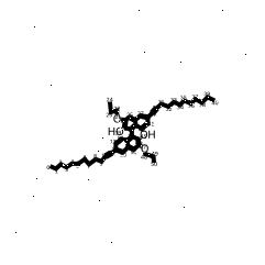 CCCCCCCCCCC#Cc1ccc2c(-c3c(O)c(OCCC)cc4cc(C#CCCCCCCCCCC)ccc34)c(O)c(OCCC)cc2c1